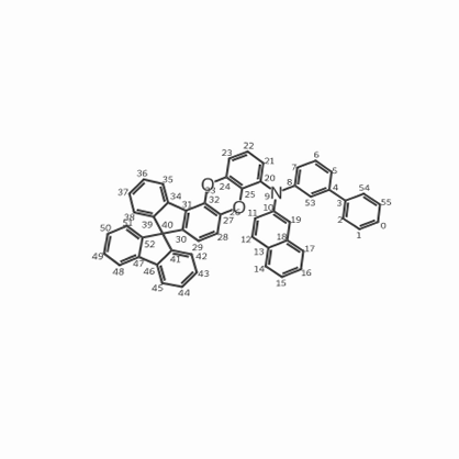 c1ccc(-c2cccc(N(c3ccc4ccccc4c3)c3cccc4c3Oc3ccc5c(c3O4)-c3ccccc3C53c4ccccc4-c4ccccc43)c2)cc1